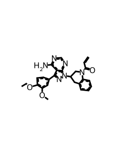 C=CC(=O)N1CC(n2nc(-c3ccc(OCC)c(OC)c3)c3c(N)ncnc32)Cc2ccccc21